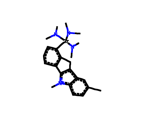 Cc1ccc2c(c1)c1c(n2C)-c2ccc[c]([Zr]([N](C)C)([N](C)C)[N](C)C)c2C1